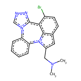 CN(C)Cc1cc2ccc(Br)c3c4nncn4c4ccccc4n1c23